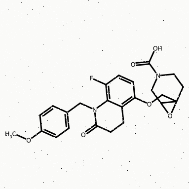 COc1ccc(CN2C(=O)CCc3c(OCC45CCN(C(=O)O)CC4O5)ccc(F)c32)cc1